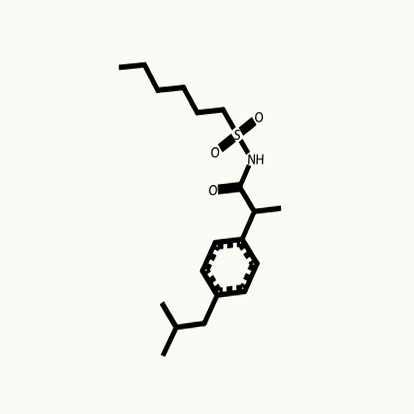 CCCCCCS(=O)(=O)NC(=O)C(C)c1ccc(CC(C)C)cc1